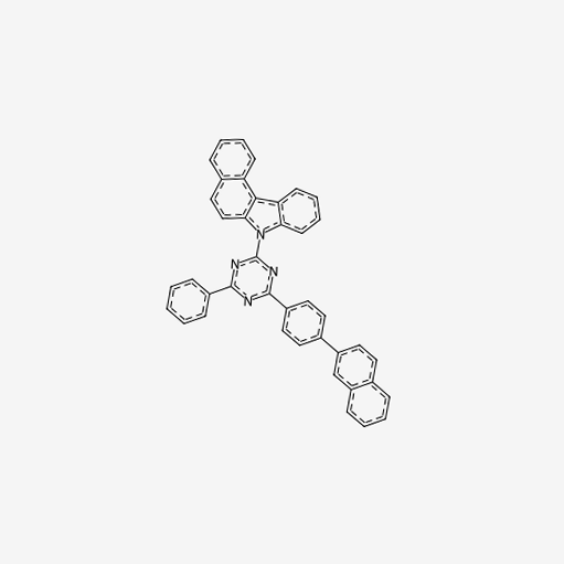 c1ccc(-c2nc(-c3ccc(-c4ccc5ccccc5c4)cc3)nc(-n3c4ccccc4c4c5ccccc5ccc43)n2)cc1